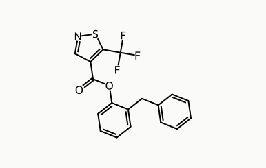 O=C(Oc1ccccc1Cc1ccccc1)c1cnsc1C(F)(F)F